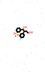 CS(=O)(=O)c1cccc(C(O)C(=CCO)c2ccc(F)cc2)c1